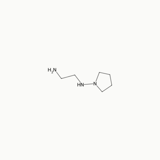 NCCNN1CCCC1